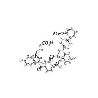 COc1ccccc1N1CCN(CCCOc2cc(C(=O)c3cn(CCCC(=O)O)c4ccccc34)ccc2N(C)Cc2ccc(C)cc2)CC1